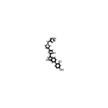 CCc1cc(O)ccc1-c1ccc2c(-c3nc(C4=CCN(Cc5c[nH]nn5)C4)c[nH]3)n[nH]c2c1